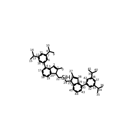 CC1=Cc2c(-c3cc(C(C)C)cc(C(C)C)c3)cccc2C1C[SiH2]CC1C(C)=Cc2c(-c3cc(C(C)C)cc(C(C)C)c3)cccc21